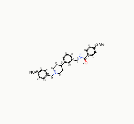 CSc1ccc(C(=O)NCc2cccc(C3CCN(Cc4ccc(C#N)cc4)CC3)c2)cc1